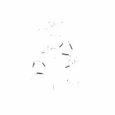 CC(=O)N[C@H]([C@H]1CN(S(=O)(=O)c2ccc(F)cc2)c2cc(NC(=O)OC(C)(C)C(F)(F)F)ccc2O1)C(F)(F)F